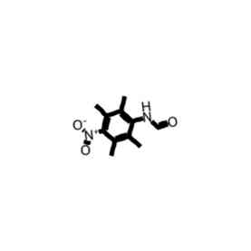 Cc1c(C)c([N+](=O)[O-])c(C)c(C)c1NC=O